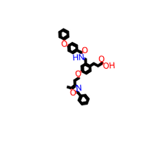 Cc1oc(-c2ccccc2)nc1CCOc1ccc(CCC(=O)O)c(CNC(=O)c2ccc(Oc3ccccc3)cc2)c1